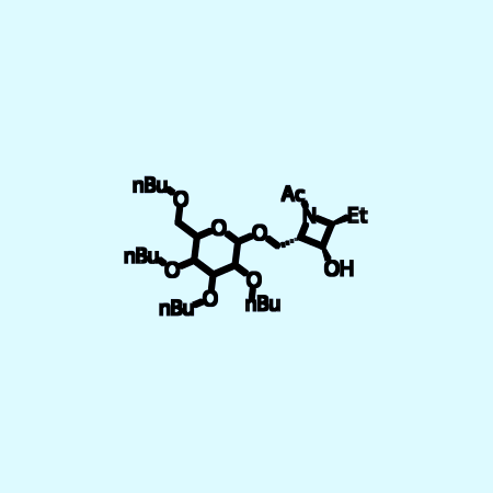 CCCCOCC1OC(OC[C@H]2[C@H](O)[C@H](CC)N2C(C)=O)C(OCCCC)C(OCCCC)C1OCCCC